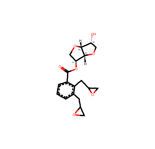 O=C(O[C@H]1CO[C@H]2[C@@H]1OC[C@H]2O)c1cccc(CC2CO2)c1CC1CO1